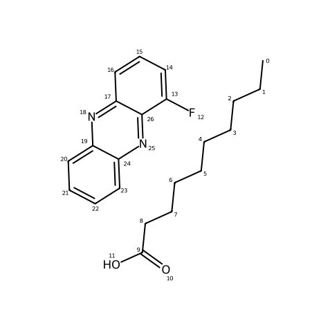 CCCCCCCCCC(=O)O.Fc1cccc2nc3ccccc3nc12